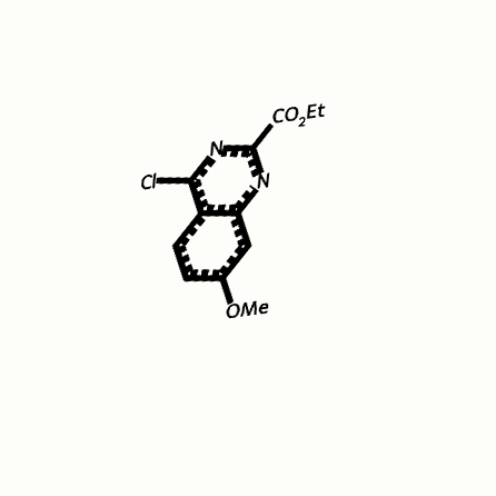 CCOC(=O)c1nc(Cl)c2ccc(OC)cc2n1